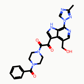 Cc1ncn(-c2ncc(CO)c3c(C(=O)C(=O)N4CCN(C(=O)c5ccccc5)CC4)c[nH]c23)n1